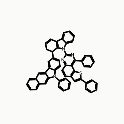 C1=Cc2c(n(-c3nc(-c4ccccc4)c4c(ccc5cc(-c6ccccc6)sc54)n3)c3ccccc23)C(c2ccc3c(c2)c2cc4ccccc4cc2n3-c2ccccc2)C1